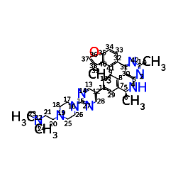 Cc1nc(N[C@@H](C)c2cccc(-c3cnc(N4CCN(CCN(C)C)CC4)nc3)c2)cc(-c2ccc3occ(C)c3c2)n1